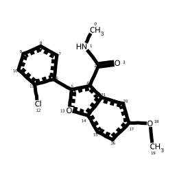 CNC(=O)c1c(-c2ccccc2Cl)oc2ccc(OC)cc12